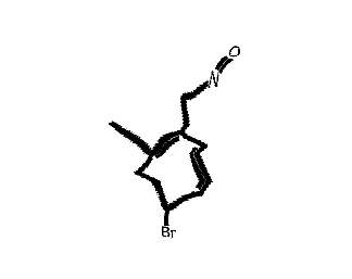 CC1=C(CN=O)C=CC(Br)C1